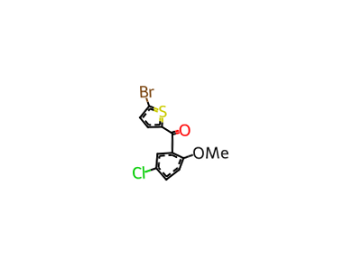 COc1ccc(Cl)cc1C(=O)c1ccc(Br)s1